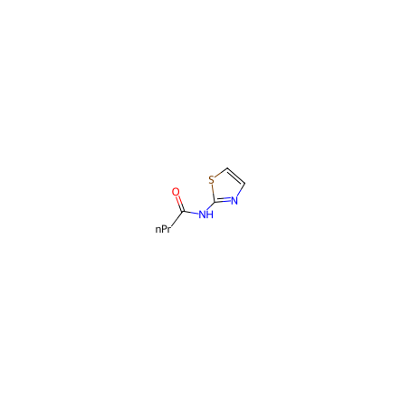 CCCC(=O)Nc1nccs1